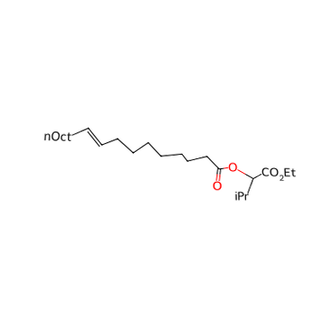 CCCCCCCC/C=C/CCCCCCCC(=O)OC(C(=O)OCC)C(C)C